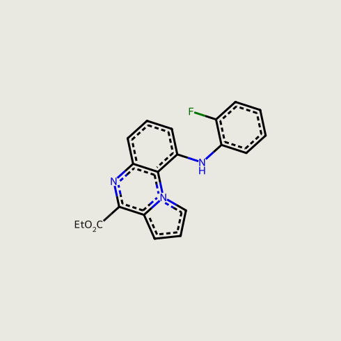 CCOC(=O)c1nc2cccc(Nc3ccccc3F)c2n2cccc12